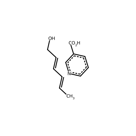 C/C=C/C=C/CO.O=C(O)c1cccnc1